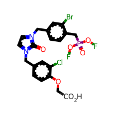 O=C(O)COc1ccc(Cn2ccn(Cc3ccc(CP(=O)(OF)OF)c(Br)c3)c2=O)cc1Cl